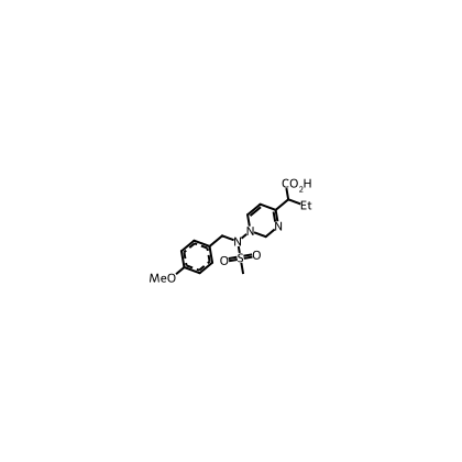 CCC(C(=O)O)C1=NCN(N(Cc2ccc(OC)cc2)S(C)(=O)=O)C=C1